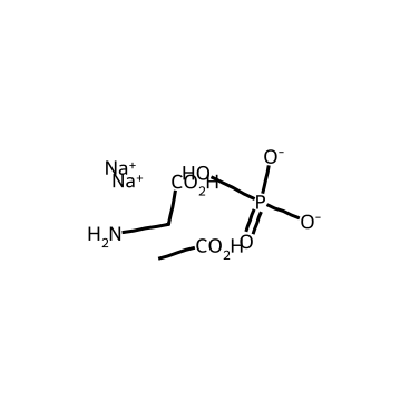 CC(=O)O.NCC(=O)O.O=P([O-])([O-])O.[Na+].[Na+]